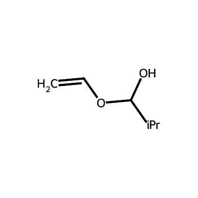 C=COC(O)C(C)C